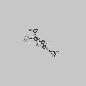 Cc1c(COc2cc(OCc3cncc(C#N)c3)c(CN[C@](C)(CO)C(=O)O)cc2Cl)cccc1-c1cccc(OCCCN2CCC(CO)(C(=O)O)CC2)c1C